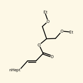 CCCCCCCC=CC(=O)OC(COCC)COCC